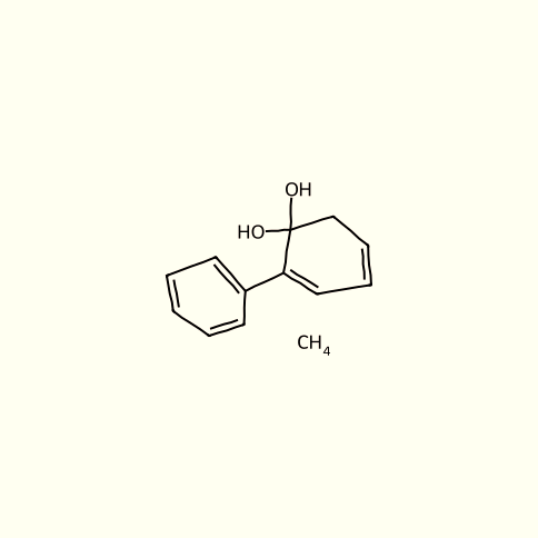 C.OC1(O)CC=CC=C1c1ccccc1